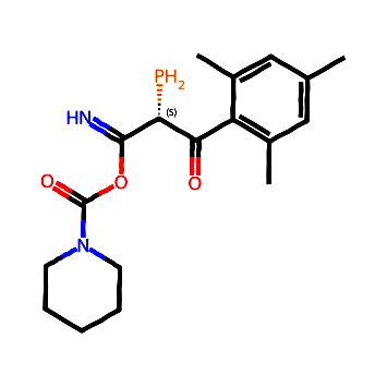 Cc1cc(C)c(C(=O)[C@@H](P)C(=N)OC(=O)N2CCCCC2)c(C)c1